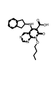 CCCCOn1c(=O)c(C(=O)O)c(NC2Cc3ccccc3C2)c2cncnc21